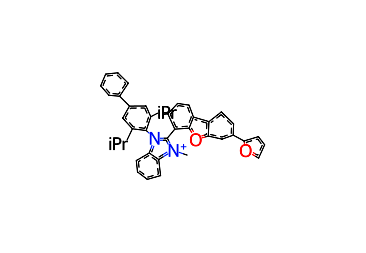 Cc1ccc2c(oc3cc(-c4ccco4)ccc32)c1-c1n(-c2c(C(C)C)cc(-c3ccccc3)cc2C(C)C)c2ccccc2[n+]1C